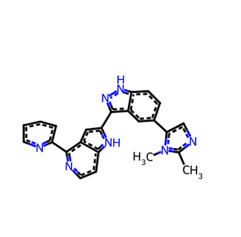 Cc1ncc(-c2ccc3[nH]nc(-c4cc5c(-c6ccccn6)nccc5[nH]4)c3c2)n1C